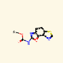 CC(C)(C)OC(=O)Nc1nc2ccc3scnc3c2o1